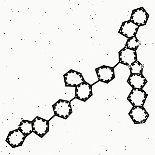 c1ccc2cc3cc4c(cc3cc2c1)nc1c2sc3c5ccccc5ccc3c2cc(-c2ccc(-c3ccc(-c5ccc(-c6ccc7c(c6)sc6ccccc67)cc5)c5ccccc35)cc2)n41